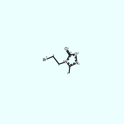 Cc1noc(=O)n1CCBr